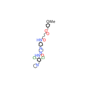 COc1ccc(COC(=O)CCCC(=O)Nc2ccc(N3CCN(C(=O)Nc4c(Cl)cc(CN5CCCCC5)cc4Cl)CC3)cc2)cc1